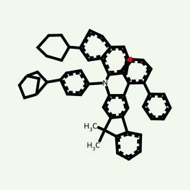 CC1(C)c2ccccc2-c2cc(-c3ccccc3-c3ccccc3)c(N(c3ccc(C4CC5CCC4C5)cc3)c3cccc4ccc(C5CCCCC5)cc34)cc21